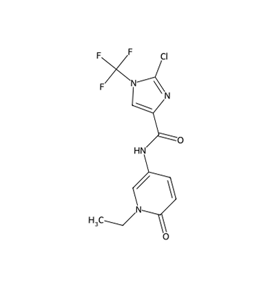 CCn1cc(NC(=O)c2cn(C(F)(F)F)c(Cl)n2)ccc1=O